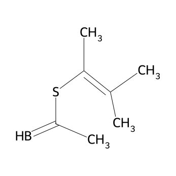 B=C(C)SC(C)=C(C)C